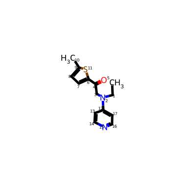 CCN(CC(=O)c1ccc(C)s1)c1ccncc1